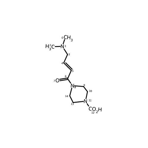 CN(C)C/C=C/C(=O)N1CCN(C(=O)O)CC1